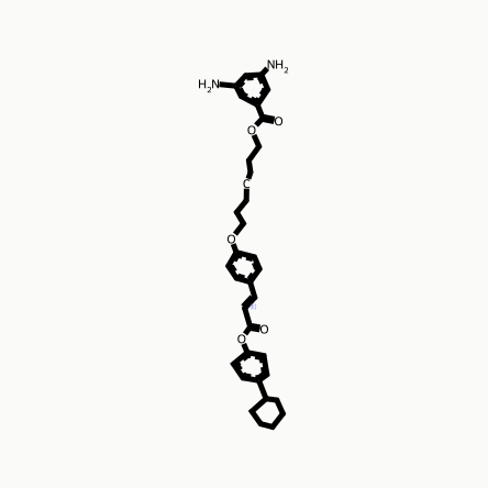 Nc1cc(N)cc(C(=O)OCCCCCCCOc2ccc(/C=C/C(=O)Oc3ccc(C4CCCCC4)cc3)cc2)c1